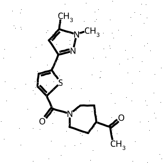 CC(=O)C1CCN(C(=O)c2ccc(-c3cc(C)n(C)n3)s2)CC1